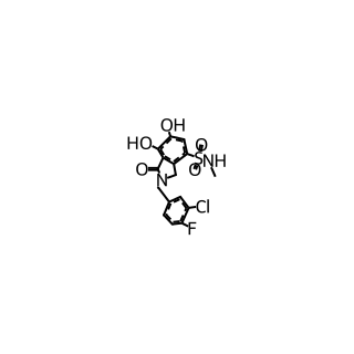 CNS(=O)(=O)c1cc(O)c(O)c2c1CN(Cc1ccc(F)c(Cl)c1)C2=O